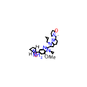 COc1cc(C(=O)N2[C@H]3CC[C@@H]2[C@H](N)C3)cc2nc(-c3cc4ccc([C@@H](C)N5CCCC5=O)nc4n3CC3CC3)n(C3CC3)c12